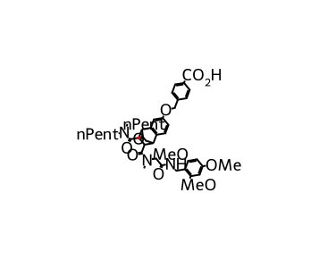 CCCCCN(CCCCC)C(=O)C1C2C(=O)CC(c3ccc(OCc4ccc(C(=O)O)cc4)cc32)C1C(=O)N(C)CC(=O)NCc1c(OC)cc(OC)cc1OC